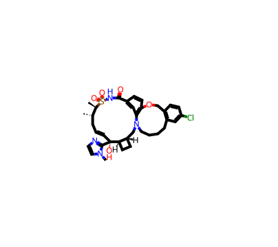 C[C@@H]1[C@@H](C)C/C=C/[C@](O)(c2nccn2C)[C@@H]2CC[C@H]2CN2CCCCc3cc(Cl)ccc3COc3ccc(cc32)C(=O)NS1(=O)=O